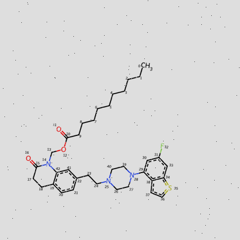 CCCCCCCCCCC(=O)OCN1C(=O)CCc2ccc(CCN3CCN(c4cc(F)cc5sccc45)CC3)cc21